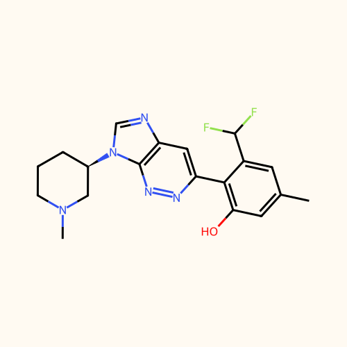 Cc1cc(O)c(-c2cc3ncn([C@@H]4CCCN(C)C4)c3nn2)c(C(F)F)c1